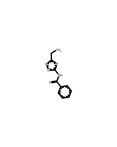 CCc1noc(NC(=O)c2ccccc2)n1